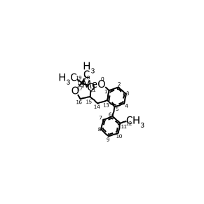 COc1cccc(-c2ccccc2C)c1CC1COC(C)(C)O1